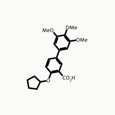 COc1cc(-c2ccc(OC3CCCC3)c(C(=O)O)c2)cc(OC)c1OC